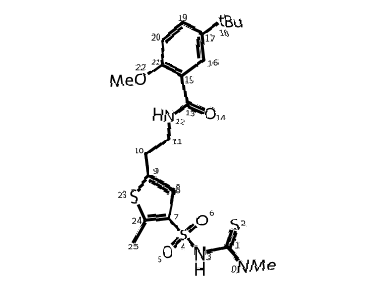 CNC(=S)NS(=O)(=O)c1cc(CCNC(=O)c2cc(C(C)(C)C)ccc2OC)sc1C